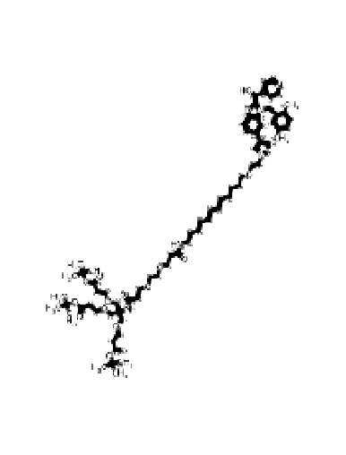 Cc1ccc(C)c(Cn2c(C(O)c3ccncc3)nc3ccc(-c4cnn(CCOCCCCCCCCCCCCNC(=O)CCOCCOCCC(=O)NC(COCCC(=O)OC(C)(C)C)(COCCC(=O)OC(C)(C)C)COCCC(=O)OC(C)(C)C)c4)cc32)c1